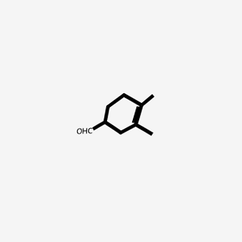 CC1=C(C)CC(C=O)CC1